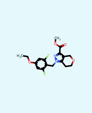 CCOc1cc(F)c(Cn2nc(C(=O)OC)c3c2CCOC3)c(F)c1